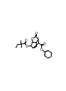 CCC(C)(C)C(=O)OC1C2CC3C1OC(=O)C3C2C(=O)OC1CCCCC1